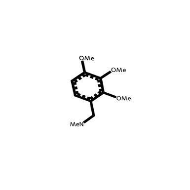 CNCc1ccc(OC)c(OC)c1OC